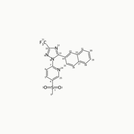 CS(=O)(=O)c1ccc(-n2nc(C(F)(F)F)nc2-c2ccc3ccccc3c2)nc1